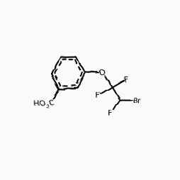 O=C(O)c1cccc(OC(F)(F)C(F)Br)c1